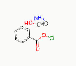 N.O=C(OCl)c1ccccc1.O=CO